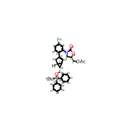 CC(=O)OC[C@H]1CN(c2cc(F)ccc2C2=CC3[C@H](CO[Si](c4ccccc4)(c4ccccc4)C(C)(C)C)[C@H]3C2)C(=O)O1